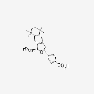 CCCCCC(=O)c1cc2c(cc1/C=C/c1ccc(C(=O)O)cc1)C(C)(C)CCC2(C)C